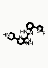 Fc1ccc(-c2cccc3[nH]c(-c4n[nH]c5ccc(C6=CCNCC6)nc45)nc23)s1